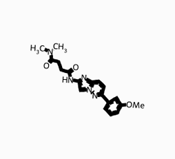 COc1cccc(-c2ccc3nc(NC(=O)CCC(=O)N(C)C)cn3n2)c1